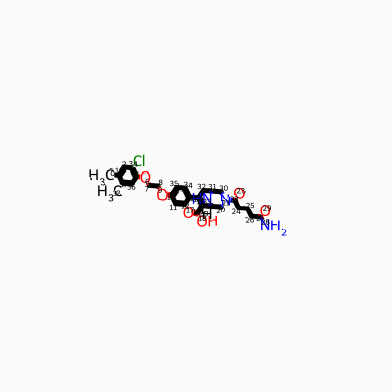 Cc1cc(Cl)c(OCCOc2ccc(C3=C(C(=O)O)[C@H]4CN(C(=O)CCCC(N)=O)CC(C3)N4)cc2)cc1C